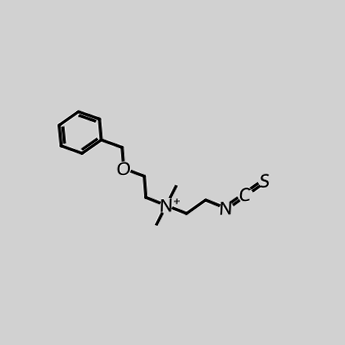 C[N+](C)(CCN=C=S)CCOCc1ccccc1